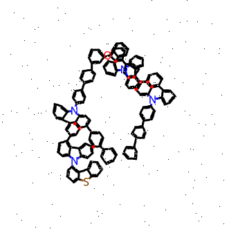 c1ccc(-c2ccc(-c3ccc(N(c4ccc(-c5ccc(-c6cccc(-c7cccc(-c8ccc(-c9ccc(N(c%10ccc(-c%11ccc(-c%12ccccc%12)cc%11)cc%10)c%10ccccc%10-c%10cccc(-c%11cccc%12c%11c%11ccccc%11n%12-c%11cccc%12sc%13ccccc%13c%11%12)c%10)cc9)cc8)c7)c6)cc5)cc4)c4ccccc4-c4cccc(-c5cccc6c5c5ccccc5n6-c5cccc6oc7ccccc7c56)c4)cc3)cc2)cc1